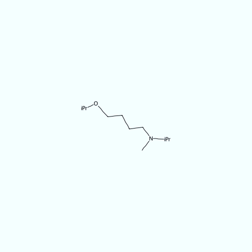 CC(C)OCCCCN(C)C(C)C